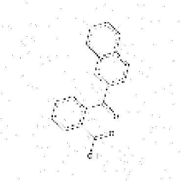 O=C(O)c1ccccc1C(=O)c1ccc2ccccc2c1